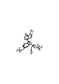 CCS(=O)(=O)N1CC(CC#N)(n2cc(-c3ncnc4[nH]ccc34)c3ccc(CC(F)(F)F)cc32)C1